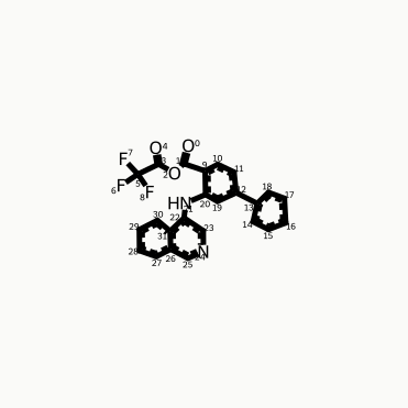 O=C(OC(=O)C(F)(F)F)c1ccc(-c2ccccc2)cc1Nc1cncc2ccccc12